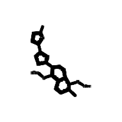 CCCCCCCCCCOc1c(C)ccc2c(OCCCCCCCCCC)c(-c3ccc(-c4ccc(C)s4)s3)ccc12